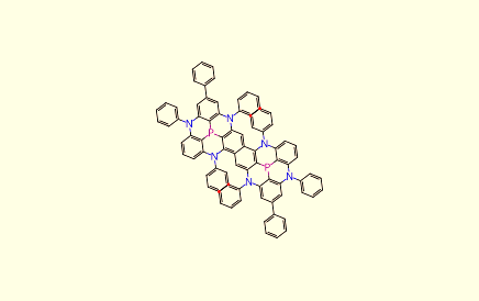 c1ccc(-c2cc3c4c(c2)n(-c2ccccc2)c2cc5c(cc6c7c5n(-c5ccccc5)c5cccc8c5p7c5c(cc(-c7ccccc7)cc5n6-c5ccccc5)n8-c5ccccc5)c5c2p4c2c(cccc2n5-c2ccccc2)n3-c2ccccc2)cc1